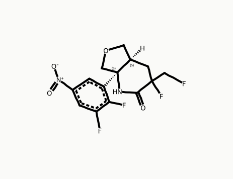 O=C1N[C@@]2(c3cc([N+](=O)[O-])cc(F)c3F)COC[C@H]2CC1(F)CF